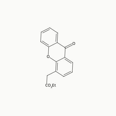 CCOC(=O)Cc1cccc2c(=O)c3ccccc3oc12